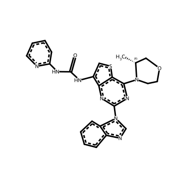 C[C@@H]1COCCN1c1nc(-n2cnc3ccccc32)nc2c(NC(=O)Nc3ccccn3)csc12